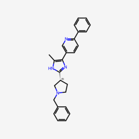 Cc1[nH]c([C@@H]2CCN(Cc3ccccc3)C2)nc1-c1ccc(-c2ccccc2)nc1